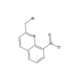 O=[N+]([O-])c1cccc2ccc(CBr)nc12